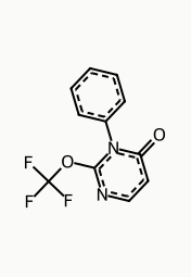 O=c1ccnc(OC(F)(F)F)n1-c1ccccc1